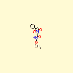 CCOCCNC(=O)CCN1C(=O)CC(C2CCCCCC2)C1=O